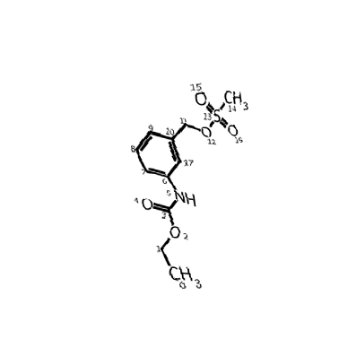 CCOC(=O)Nc1cccc(COS(C)(=O)=O)c1